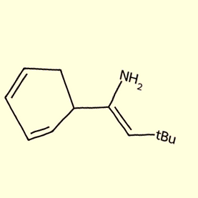 CC(C)(C)/C=C(\N)C1C=CC=CC1